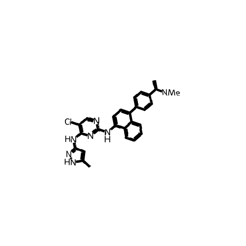 C=C(NC)c1ccc(-c2ccc(Nc3ncc(Cl)c(Nc4cc(C)[nH]n4)n3)c3ccccc23)cc1